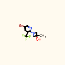 CC1(O)CN(c2ncc(Br)cc2C(F)(F)F)C1